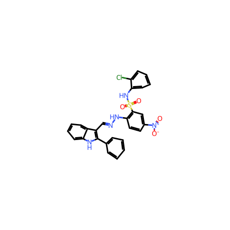 O=[N+]([O-])c1ccc(NN=Cc2c(-c3ccccc3)[nH]c3ccccc23)c(S(=O)(=O)Nc2ccccc2Cl)c1